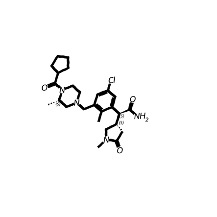 Cc1c(CN2CCN(C(=O)C3CCCC3)[C@@H](C)C2)cc(Cl)cc1[C@@H](C(N)=O)[C@@H]1CC(=O)N(C)C1